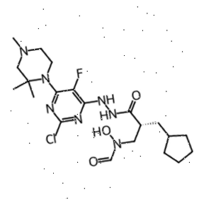 CN1CCN(c2nc(Cl)nc(NNC(=O)[C@H](CC3CCCC3)CN(O)C=O)c2F)C(C)(C)C1